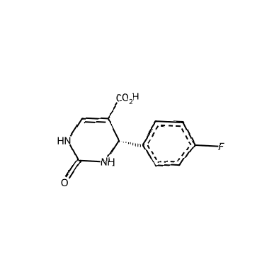 O=C1NC=C(C(=O)O)[C@H](c2ccc(F)cc2)N1